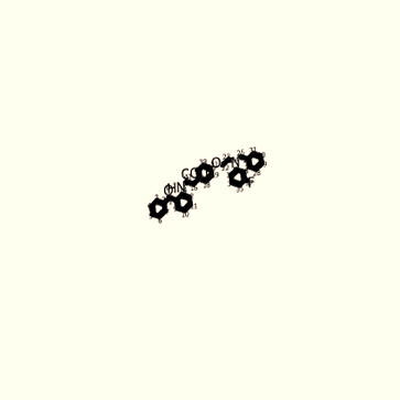 O=C(c1ccccc1)c1ccccc1N[C@@H](Cc1ccc(OCCN(Cc2ccccc2)c2cccc(F)c2)cc1)C(=O)O